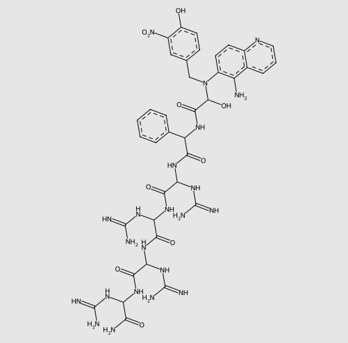 N=C(N)NC(NC(=O)C(NC(=N)N)NC(=O)C(NC(=N)N)NC(=O)C(NC(=N)N)NC(=O)C(NC(=O)C(O)N(Cc1ccc(O)c([N+](=O)[O-])c1)c1ccc2ncccc2c1N)c1ccccc1)C(N)=O